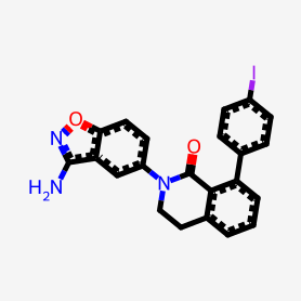 Nc1noc2ccc(N3CCc4cccc(-c5ccc(I)cc5)c4C3=O)cc12